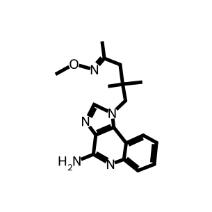 CON=C(C)CC(C)(C)Cn1cnc2c(N)nc3ccccc3c21